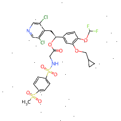 CS(=O)(=O)c1ccc(S(=O)(=O)NCC(=O)O[C@@H](Cc2c(Cl)cncc2Cl)c2ccc(OC(F)F)c(OCC3CC3)c2)cc1